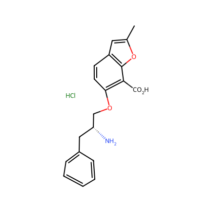 Cc1cc2ccc(OC[C@H](N)Cc3ccccc3)c(C(=O)O)c2o1.Cl